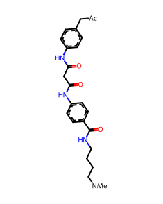 CNCCCCNC(=O)c1ccc(NC(=O)CC(=O)Nc2ccc(CC(C)=O)cc2)cc1